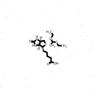 CCOC(C)OCC.O=C(O)CCCC[C@@H]1SC[C@@H]2NC(=O)N[C@@H]21